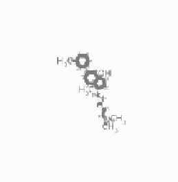 Cc1cccc([C@H]2CC[C@]3(C)[C@@H](C=NOCCN(C)C)CC[C@]3(O)C2)c1